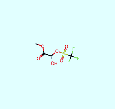 COC(=O)[C@@H](O)OS(=O)(=O)C(F)(F)F